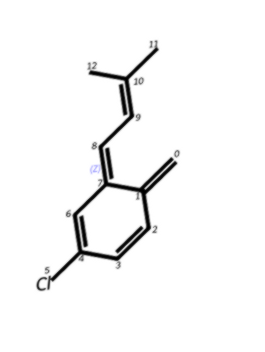 C=c1ccc(Cl)c/c1=C/C=C(C)C